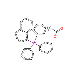 CC(=O)[O-].c1ccc([P+](c2ccccc2)(c2ccccc2)c2cccc3ccccc23)cc1